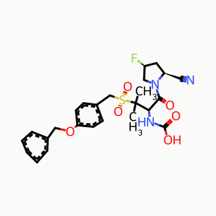 CC(C)([C@H](NC(=O)O)C(=O)N1C[C@@H](F)C[C@H]1C#N)S(=O)(=O)Cc1ccc(OCc2ccccc2)cc1